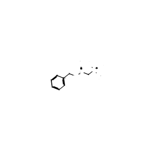 O=[PH](CP(=O)(O)O)OCc1ccccc1